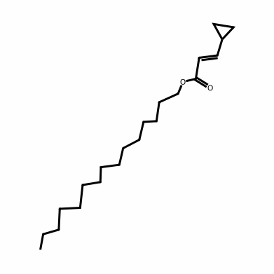 CCCCCCCCCCCCCCCOC(=O)/C=C/C1CC1